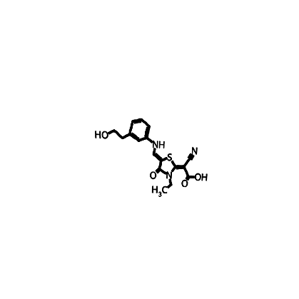 CCn1c(=C(C#N)C(=O)O)sc(=CNc2cccc(CCO)c2)c1=O